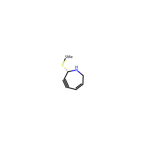 CSS[C@H]1C#CC=CCN1